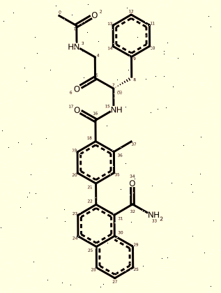 CC(=O)NCC(=O)[C@H](Cc1ccccc1)NC(=O)c1ccc(-c2ccc3ccccc3c2C(N)=O)cc1C